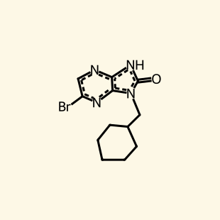 O=c1[nH]c2ncc(Br)nc2n1CC1CCCCC1